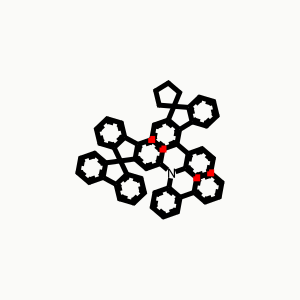 c1ccc(-c2ccccc2N(c2ccc3c(c2)C2(c4ccccc4-c4ccccc42)c2ccccc2-3)c2ccccc2-c2cccc3c2-c2ccccc2C32CCCC2)cc1